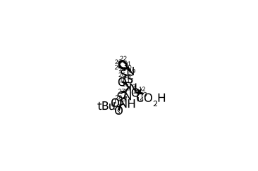 CC(C)(C)OC(=O)Nc1nc(C(=NOC(C)(C)C(=O)O)C(=O)Sc2nc3ccccc3s2)cs1